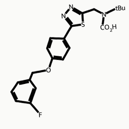 CC(C)(C)N(Cc1nnc(-c2ccc(OCc3cccc(F)c3)cc2)s1)C(=O)O